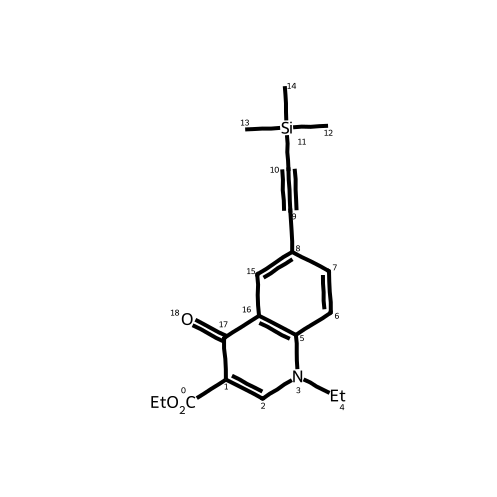 CCOC(=O)c1cn(CC)c2ccc(C#C[Si](C)(C)C)cc2c1=O